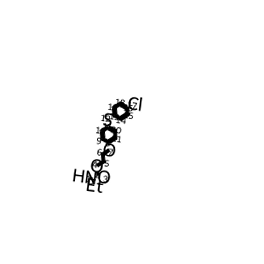 CCNC(=O)OCCOc1ccc(Sc2ccc(Cl)cc2)cc1